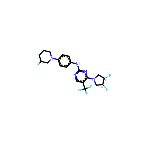 FC1CCCN(c2ccc(Nc3ncc(C(F)(F)F)c(N4C[C@H](F)[C@@H](F)C4)n3)cc2)C1